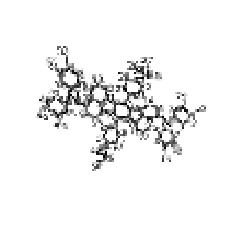 Cc1ccc(N(c2ccc(C)c(C)c2)c2ccc3c4c(-c5ccc([Si](C)(C)C)cc5)c5c6cccc7c(N(c8ccc(C)c(C)c8)c8ccc(C)c(C)c8)ccc(c5c(-c5ccc([Si](C)(C)C)cc5)c4c4cccc2c43)c76)cc1C